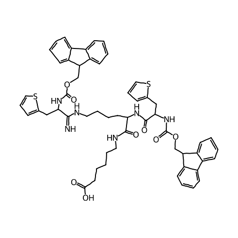 N=C(NCCCCC(NC(=O)C(Cc1cccs1)NC(=O)OCC1c2ccccc2-c2ccccc21)C(=O)NCCCCCC(=O)O)C(Cc1cccs1)NC(=O)OCC1c2ccccc2-c2ccccc21